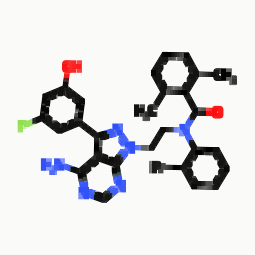 Cc1cccc(C)c1C(=O)N(CCn1nc(-c2cc(O)cc(F)c2)c2c(N)ncnc21)c1ccccc1C(C)C